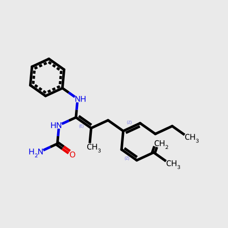 C=C(C)/C=C\C(=C/CCC)C/C(C)=C(/NC(N)=O)Nc1ccccc1